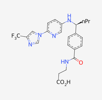 CCC[C@H](Nc1ccc(-n2cnc(C(F)(F)F)c2)nc1)c1ccc(C(=O)NCCC(=O)O)cc1